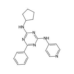 c1ccc(-c2nc(Nc3ccncc3)nc(NC3CCCC3)n2)cc1